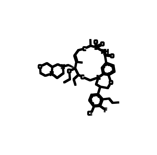 CCCc1c(C2COc3ccc4cc3N(CCC(CC)[C@@](CN3CCN5CCOCC5C3)(OCC)/C(C)=C/CCC(C)S(=O)(=O)NC4=O)C2)ccc(Cl)c1F